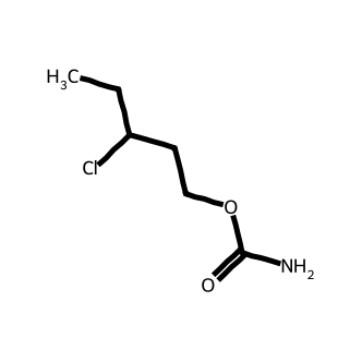 CCC(Cl)CCOC(N)=O